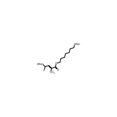 CCCCCCCCCCCCCCCCCOC(=O)C(C)=CC(F)CCCCCCCCC